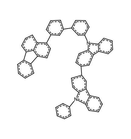 c1ccc(-n2c3ccccc3c3cc(-c4ccc5c(c4)c4ccccc4n5-c4cccc(-c5cccc(-c6ccc7c8c(cccc68)-c6ccccc6-7)c5)c4)ccc32)cc1